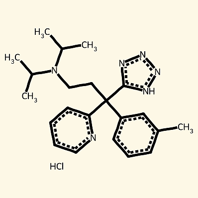 Cc1cccc(C(CCN(C(C)C)C(C)C)(c2ccccn2)c2nnn[nH]2)c1.Cl